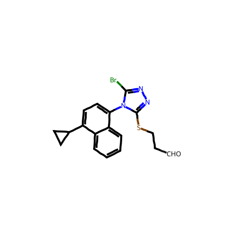 O=CCCSc1nnc(Br)n1-c1ccc(C2CC2)c2ccccc12